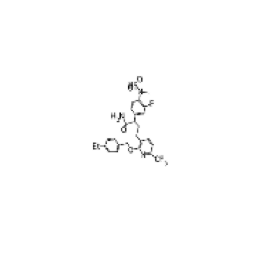 CCc1ccc(COc2nc(C(F)(F)F)ccc2CCC(C(N)=O)c2ccc(N(C)[SH](=O)=O)c(F)c2)cc1